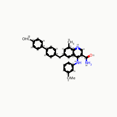 COc1cccc(Nc2c(C(N)=O)cnc3c(C)cc(Cc4ccc(-c5ccc(C=O)cc5)cc4)cc23)c1